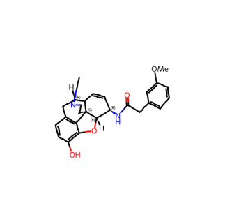 COc1cccc(CC(=O)N[C@@H]2C=CC3[C@H]4Cc5ccc(O)c6c5[C@@]3(CCN4C)[C@H]2O6)c1